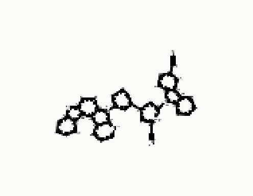 N#Cc1cc(-c2cccc(-n3c4ccc5oc6ccccc6c5c4c4cccnc43)c2)cc(-n2c3ccccc3c3cc(C#N)ccc32)c1